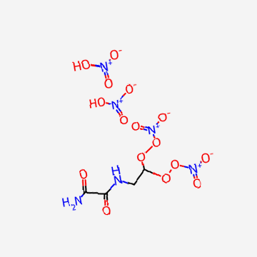 NC(=O)C(=O)NCC(OO[N+](=O)[O-])OO[N+](=O)[O-].O=[N+]([O-])O.O=[N+]([O-])O